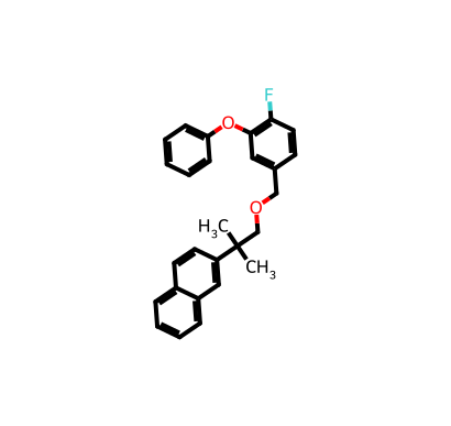 CC(C)(COCc1ccc(F)c(Oc2ccccc2)c1)c1ccc2ccccc2c1